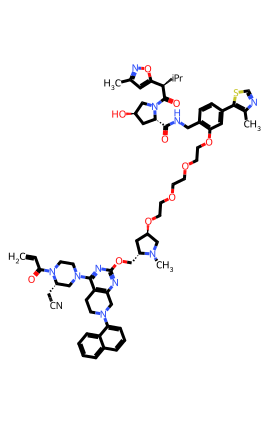 C=CC(=O)N1CCN(c2nc(OC[C@@H]3C[C@@H](OCCOCCOCCOc4cc(-c5scnc5C)ccc4CNC(=O)[C@@H]4C[C@@H](O)CN4C(=O)[C@@H](c4cc(C)no4)C(C)C)CN3C)nc3c2CCN(c2cccc4ccccc24)C3)C[C@@H]1CC#N